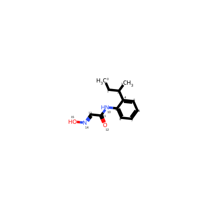 CCC(C)c1ccccc1NC(=O)C=NO